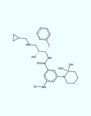 CCNc1cc(C(=O)N[C@@H](Cc2ccccc2)[C@H](O)CNCC2CC2)cc(N2CCCCS2(O)O)c1